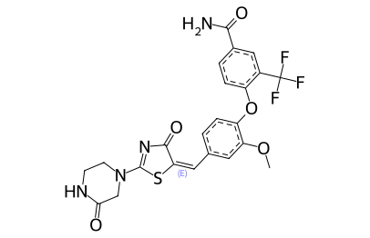 COc1cc(/C=C2/SC(N3CCNC(=O)C3)=NC2=O)ccc1Oc1ccc(C(N)=O)cc1C(F)(F)F